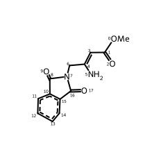 COC(=O)C=C(N)CN1C(=O)c2ccccc2C1=O